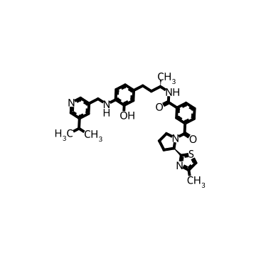 Cc1csc([C@H]2CCCN2C(=O)c2cccc(C(=O)N[C@@H](C)CCc3ccc(NCc4cncc(C(C)C)c4)c(O)c3)c2)n1